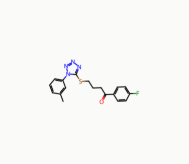 Cc1cccc(-n2nnnc2SCCCC(=O)c2ccc(F)cc2)c1